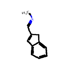 C/N=C/C1=Cc2ccccc2C1